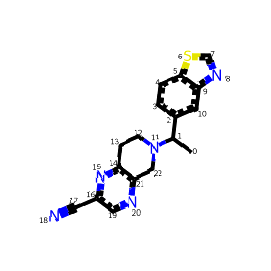 CC(c1ccc2scnc2c1)N1CCc2nc(C#N)cnc2C1